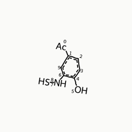 CC(=O)c1ccc(O)c(NS)c1